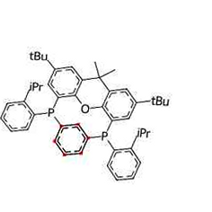 CC(C)c1ccccc1P(c1ccccc1)c1cc(C(C)(C)C)cc2c1Oc1c(P(c3ccccc3)c3ccccc3C(C)C)cc(C(C)(C)C)cc1C2(C)C